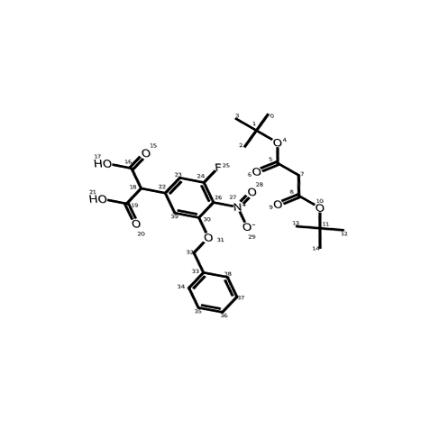 CC(C)(C)OC(=O)CC(=O)OC(C)(C)C.O=C(O)C(C(=O)O)c1cc(F)c([N+](=O)[O-])c(OCc2ccccc2)c1